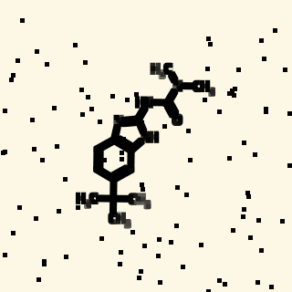 CN(C)C(=O)Nc1nc2ccc(C(C)(C)C)cc2[nH]1